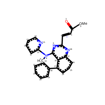 COC(=O)/C=C/c1nc(N(C)c2ccccn2)c2c(-c3ccccc3)cccc2n1